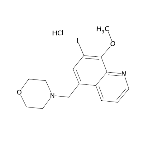 COc1c(I)cc(CN2CCOCC2)c2cccnc12.Cl